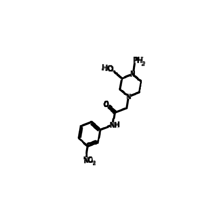 O=C(CN1CCN(P)C(O)C1)Nc1cccc([N+](=O)[O-])c1